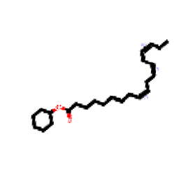 CC/C=C\C/C=C\C/C=C\CCCCCCCC(=O)OC1CCCCC1